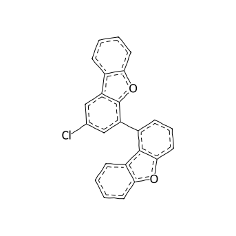 Clc1cc(-c2cccc3oc4ccccc4c23)c2oc3ccccc3c2c1